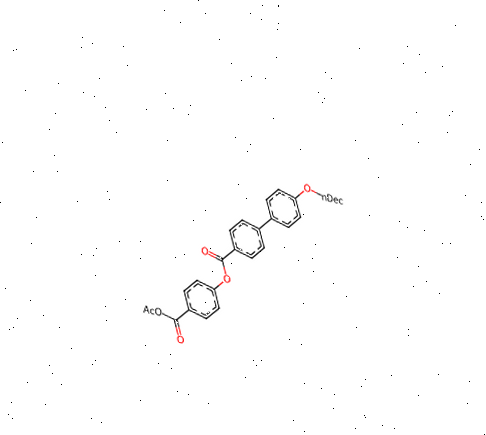 CCCCCCCCCCOc1ccc(-c2ccc(C(=O)Oc3ccc(C(=O)OC(C)=O)cc3)cc2)cc1